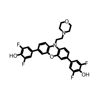 Oc1c(F)cc(-c2ccc3c(c2)Oc2cc(-c4cc(F)c(O)c(F)c4)ccc2N3CCN2CCOCC2)cc1F